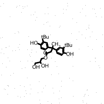 CC(C)(C)c1cc(C(C)(CC(=O)OCC(O)CO)c2ccc(O)c(C(C)(C)C)c2)ccc1O